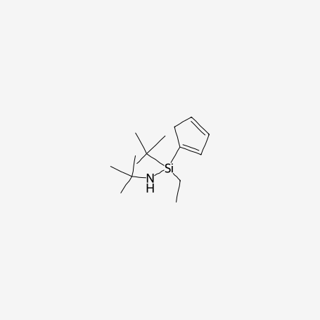 CC[Si](NC(C)(C)C)(C1=CC=CC1)C(C)(C)C